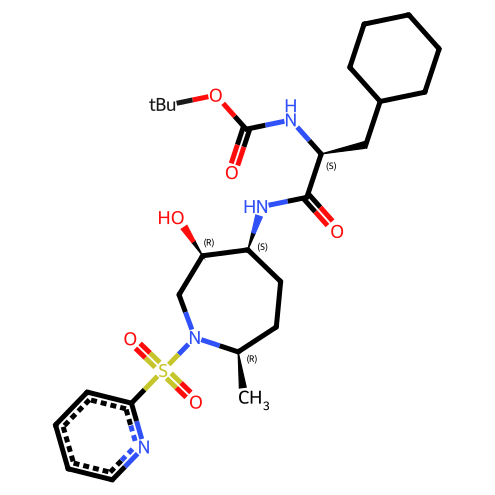 C[C@@H]1CC[C@H](NC(=O)[C@H](CC2CCCCC2)NC(=O)OC(C)(C)C)[C@H](O)CN1S(=O)(=O)c1ccccn1